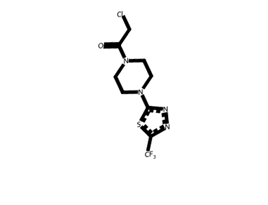 O=C(CCl)N1CCN(c2nnc(C(F)(F)F)s2)CC1